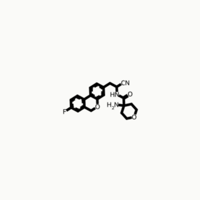 N#CC(Cc1ccc2c(c1)OCc1cc(F)ccc1-2)NC(=O)C1(N)CCOCC1